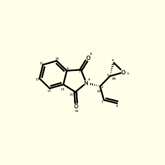 C=C[C@@H]([C@@H]1CO1)N1C(=O)c2ccccc2C1=O